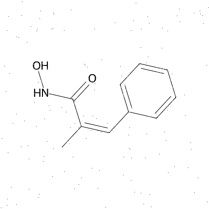 CC(=Cc1ccccc1)C(=O)NO